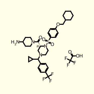 NC1CCN(C(=O)[C@H]2CN(C(c3ccc(C(F)(F)F)cc3)C3CC3)CCN2S(=O)(=O)c2ccc(OCC3CCCCC3)cc2)CC1.O=C(O)C(F)(F)F